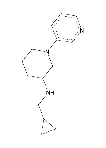 c1cncc(N2CCCC(NCC3CC3)C2)c1